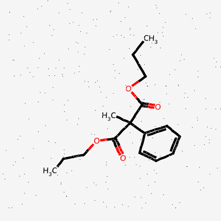 CCCOC(=O)C(C)(C(=O)OCCC)c1ccccc1